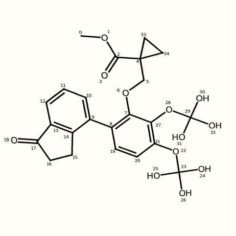 COC(=O)C1(COc2c(-c3cccc4c3CCC4=O)ccc(OC(O)(O)O)c2OC(O)(O)O)CC1